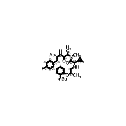 CCCCc1ccccc1O[C@H](C)CN[C@H](C(=O)N(C)[C@H](C)C(=O)N[C@H](Cc1ccc(F)cc1)C(C)=O)C1CC1